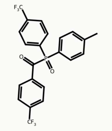 Cc1ccc(P(=O)(C(=O)c2ccc(C(F)(F)F)cc2)c2ccc(C(F)(F)F)cc2)cc1